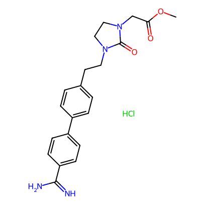 COC(=O)CN1CCN(CCc2ccc(-c3ccc(C(=N)N)cc3)cc2)C1=O.Cl